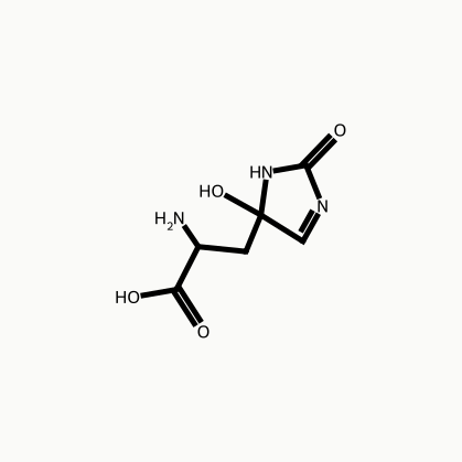 NC(CC1(O)C=NC(=O)N1)C(=O)O